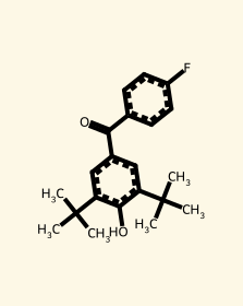 CC(C)(C)c1cc(C(=O)c2ccc(F)cc2)cc(C(C)(C)C)c1O